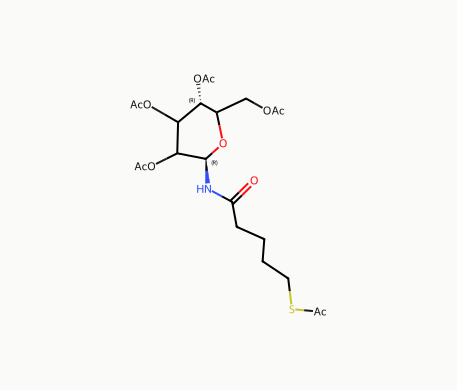 CC(=O)OCC1O[C@@H](NC(=O)CCCCSC(C)=O)C(OC(C)=O)C(OC(C)=O)[C@@H]1OC(C)=O